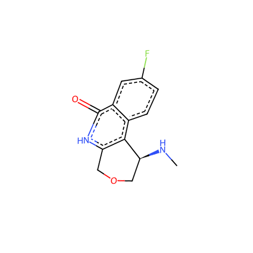 CN[C@H]1COCc2[nH]c(=O)c3cc(F)ccc3c21